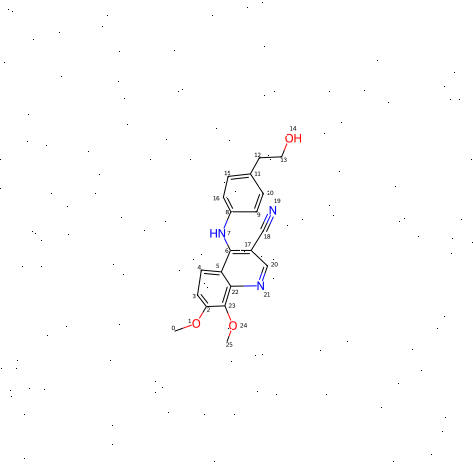 COc1ccc2c(Nc3ccc(CCO)cc3)c(C#N)cnc2c1OC